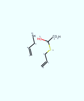 C=CCSC(O)C(=O)O.C=C[CH2][Sn]